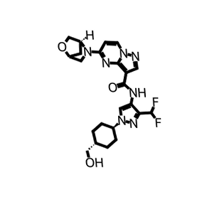 O=C(Nc1cn([C@H]2CC[C@H](CO)CC2)nc1C(F)F)c1cnn2ccc(N3CC4C[C@H]3CO4)nc12